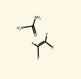 FC(F)=C(F)F.NC(N)=O